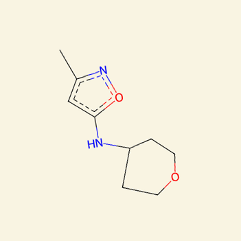 Cc1cc(NC2CCOCC2)on1